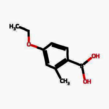 CCOc1ccc(B(O)O)c(C)c1